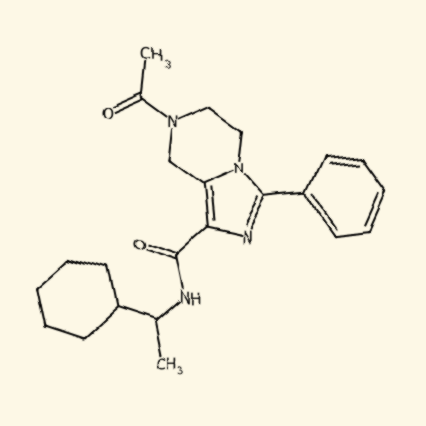 CC(=O)N1CCn2c(-c3ccccc3)nc(C(=O)NC(C)C3CCCCC3)c2C1